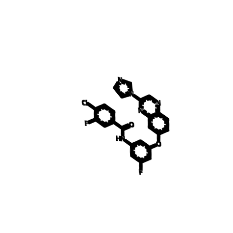 O=C(Nc1cc(F)cc(Oc2ccc3ncc(-n4ccnc4)nc3c2)c1)c1ccc(Cl)c(F)c1